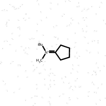 CCC(C)[N+](C)=C1CCCC1